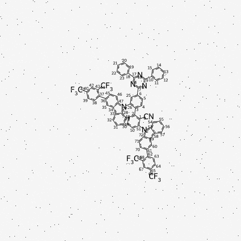 N#Cc1c(-c2ccc(-c3nc(-c4ccccc4)nc(-c4ccccc4)n3)cc2-n2c3ccccc3c3cc(-c4ccc(C(F)(F)F)cc4C(F)(F)F)ccc32)cccc1-n1c2ccccc2c2cc(-c3ccc(C(F)(F)F)cc3C(F)(F)F)ccc21